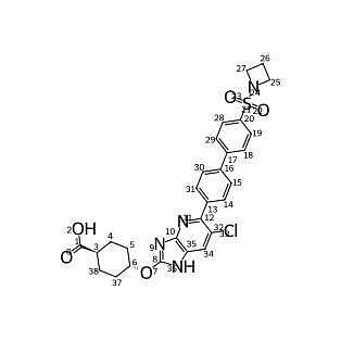 O=C(O)[C@H]1CC[C@H](Oc2nc3nc(-c4ccc(-c5ccc(S(=O)(=O)N6CCC6)cc5)cc4)c(Cl)cc3[nH]2)CC1